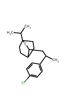 CC(CC1CC2(C(C)C)CCC1CC2)c1ccc(Cl)cc1